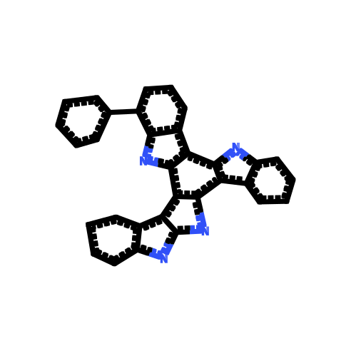 c1ccc(-c2cccc3c2nc2c4c5c6ccccc6nc-5nc4c4c5ccccc5nc4c32)cc1